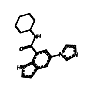 O=C(NC1CCCCC1)c1cc(-n2ccnc2)cc2cc[nH]c12